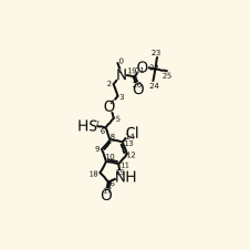 CN(CCOCC(S)c1cc2c(cc1Cl)NC(=O)C2)C(=O)OC(C)(C)C